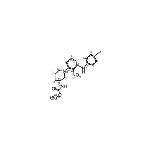 Cc1ccc(Nc2nccc(N3CCC[C@@H](NC(=O)OC(C)(C)C)C3)c2[N+](=O)[O-])cc1